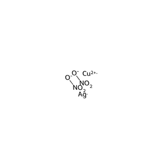 O=[N+]([O-])[O-].O=[N+]([O-])[O-].[Ag].[Cu+2]